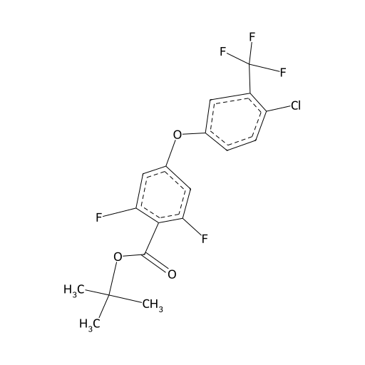 CC(C)(C)OC(=O)c1c(F)cc(Oc2ccc(Cl)c(C(F)(F)F)c2)cc1F